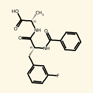 C[C@H](NC(=O)[C@@H](Cc1cccc(F)c1)NC(=O)c1ccccc1)C(=O)O